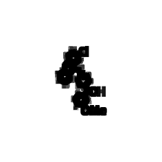 COc1cccc(C(O)C2CCN(CC34CC(c5ccccc53)c3ccc(Cl)cc34)CC2)c1